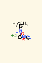 Cc1ccc(/C=N/NC(=O)c2ccccc2NC(=O)c2ccncc2)cc1C.Cl